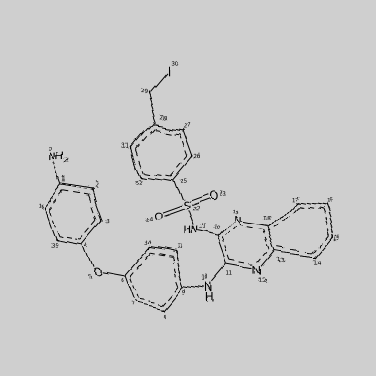 Nc1ccc(Oc2ccc(Nc3nc4ccccc4nc3NS(=O)(=O)c3ccc(CI)cc3)cc2)cc1